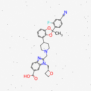 CC1(c2ccc(C#N)cc2F)Oc2cccc(C3CCN(Cc4nc5ccc(C(=O)O)cc5n4C[C@@H]4CCO4)CC3)c2O1